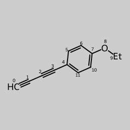 C#CC#Cc1ccc(OCC)cc1